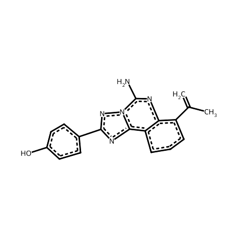 C=C(C)c1cccc2c1nc(N)n1nc(-c3ccc(O)cc3)nc21